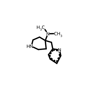 CN(C)C1(Cc2ccccn2)CCNCC1